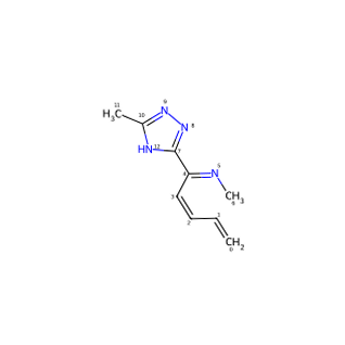 C=C/C=C\C(=N/C)c1nnc(C)[nH]1